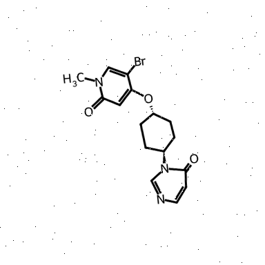 Cn1cc(Br)c(O[C@H]2CC[C@H](n3cnccc3=O)CC2)cc1=O